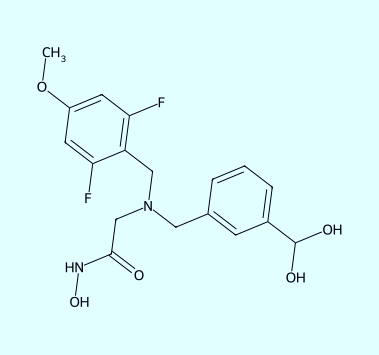 COc1cc(F)c(CN(CC(=O)NO)Cc2cccc(C(O)O)c2)c(F)c1